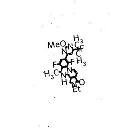 CCN1Cc2c(ccnc2NC(C)c2cc(F)c(-c3cc(C(C)(C)F)nc(OC)n3)cc2F)C1=O